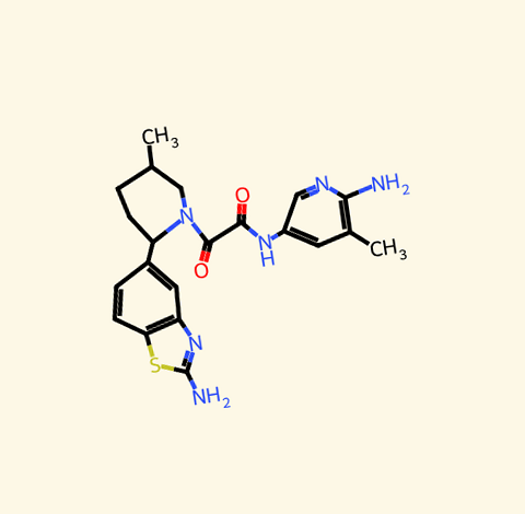 Cc1cc(NC(=O)C(=O)N2CC(C)CCC2c2ccc3sc(N)nc3c2)cnc1N